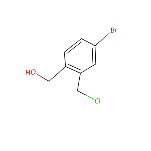 OCc1ccc(Br)cc1CCl